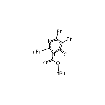 CCCc1nc(CC)c(CC)c(=O)n1C(=O)OC(C)(C)C